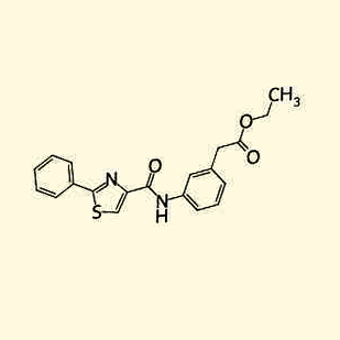 CCOC(=O)Cc1cccc(NC(=O)c2csc(-c3ccccc3)n2)c1